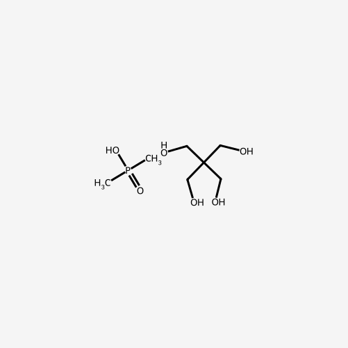 CP(C)(=O)O.OCC(CO)(CO)CO